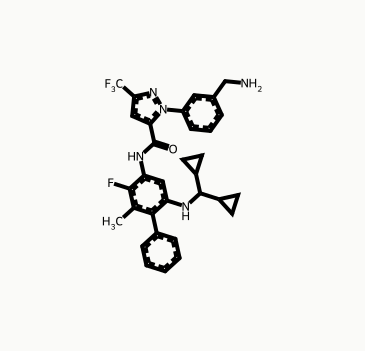 Cc1c(F)c(NC(=O)c2cc(C(F)(F)F)nn2-c2cccc(CN)c2)cc(NC(C2CC2)C2CC2)c1-c1ccccc1